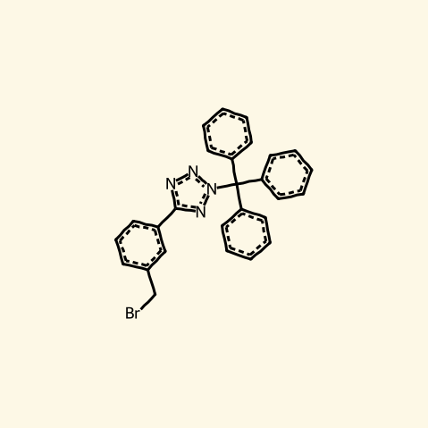 BrCc1cccc(-c2nnn(C(c3ccccc3)(c3ccccc3)c3ccccc3)n2)c1